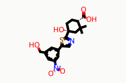 CC1(C)C[C@@](O)(c2ncc(-c3cc(CO)cc([N+](=O)[O-])c3)s2)CC[C@@H]1C(=O)O